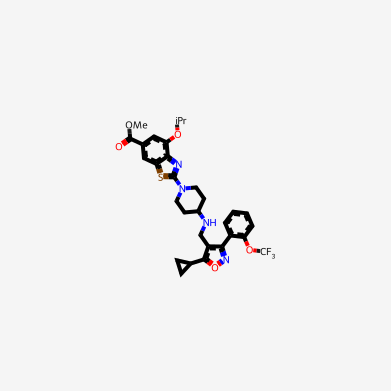 COC(=O)c1cc(OC(C)C)c2nc(N3CCC(NCc4c(-c5ccccc5OC(F)(F)F)noc4C4CC4)CC3)sc2c1